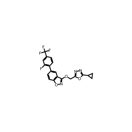 Fc1cc(C(F)(F)F)ccc1-c1ccc2onc(OCc3nnc(C4CC4)o3)c2c1